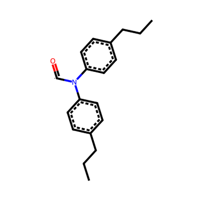 CCCc1ccc(N([C]=O)c2ccc(CCC)cc2)cc1